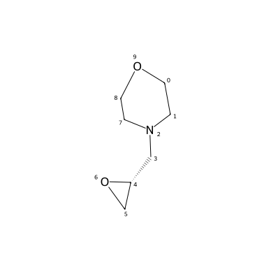 C1CN(C[C@@H]2CO2)CCO1